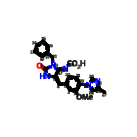 COc1cc(C=C2NC(=O)N(Cc3ccccc3)C2=NC(=O)O)ccc1-n1cnc(C)c1